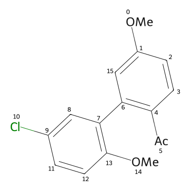 COc1ccc(C(C)=O)c(-c2cc(Cl)ccc2OC)c1